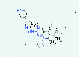 C=N/C=c1/c(C)c(C(=C)C)c(=C)n(C2CCCC2)/c1=N/CNc1ccc(C2CCNCC2)cn1